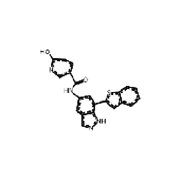 O=C(Nc1cc(-c2cc3ccccc3s2)c2[nH]ncc2c1)c1ccc(O)nc1